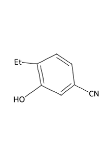 CCc1ccc(C#N)cc1O